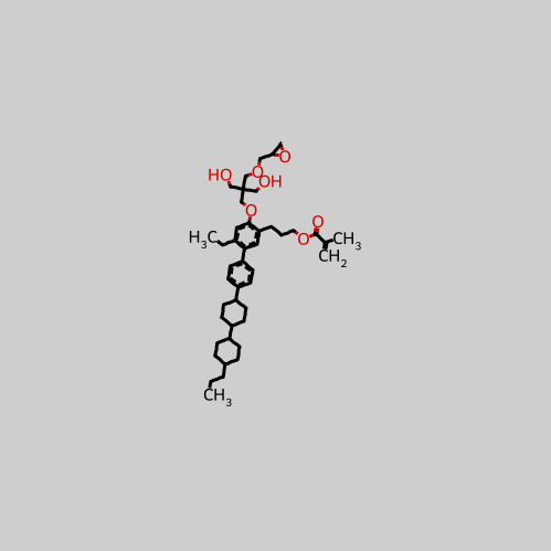 C=C(C)C(=O)OCCCc1cc(-c2ccc(C3CCC(C4CCC(CCC)CC4)CC3)cc2)c(CC)cc1OCC(CO)(CO)COCC1CO1